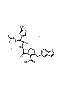 Nc1nc(C(=NOC(F)F)C(=O)NC2C(=O)N3C(C(=O)O)=C(C[n+]4ccc5sccc5c4)SCC23)cs1